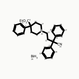 CCOC(=O)C1(c2ccccc2)CCN(CCC(C#N)(c2ccccc2)c2ccccc2)CC1.[BiH3]